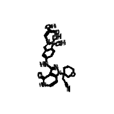 N#CC[C@@]1(n2nc(Nc3ccc4c(c3)CN(CC(=O)O)S4(O)O)c3c(=O)[nH]ccc32)CCCOC1